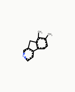 Cc1ccc2c(c1C)Cc1cnccc1-2